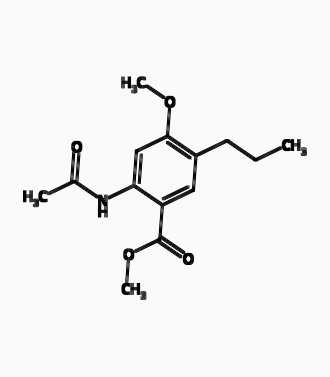 CCCc1cc(C(=O)OC)c(NC(C)=O)cc1OC